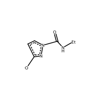 CCNC(=O)n1ccc([O])n1